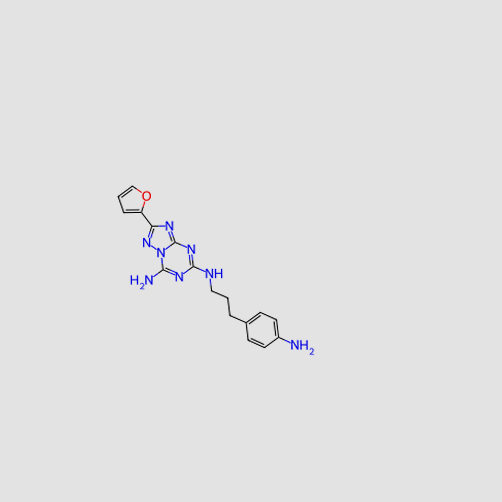 Nc1ccc(CCCNc2nc(N)n3nc(-c4ccco4)nc3n2)cc1